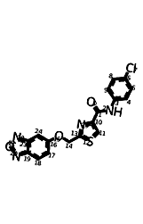 O=C(Nc1ccc(Cl)cc1)c1csc(COc2ccc3nonc3c2)n1